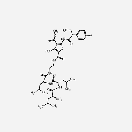 CCC(C(=O)Nc1sc(C(=O)NCCNC(=O)[C@H](CC(C)C)NC(=O)[C@H](CC(C)C)NC(=O)[C@@H](N)CC(C)C)c(C)c1C(=O)OC)c1ccc(F)cc1